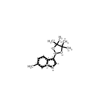 Cc1ccc2c(B3OC(C)(C)C(C)(C)O3)cnn2c1